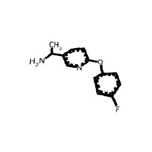 CC(N)c1ccc(Oc2ccc(F)cc2)nc1